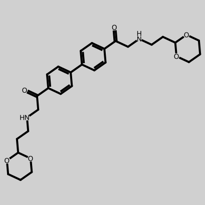 O=C(CNCCC1OCCCO1)c1ccc(-c2ccc(C(=O)CNCCC3OCCCO3)cc2)cc1